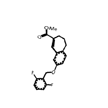 COC(=O)C1=Cc2cc(OCc3c(F)cccc3F)ccc2CCC1